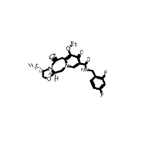 CCOc1c2n(cc(C(=O)NCc3ccc(F)cc3F)c1=O)C[C@H]1OC[C@H](C)N1C2=O